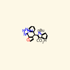 CCCCn1c(C(c2ccccc2)c2ccoc2-c2nnn[nH]2)c(C(=O)O)c2ccccc21